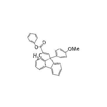 COc1ccc(C2(C=C(C)C(=O)Oc3ccccc3)c3ccccc3-c3ccccc32)cc1